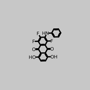 O=C1c2c(O)ccc(O)c2C(=O)c2c(F)c(Nc3ccccc3)c(F)c(F)c21